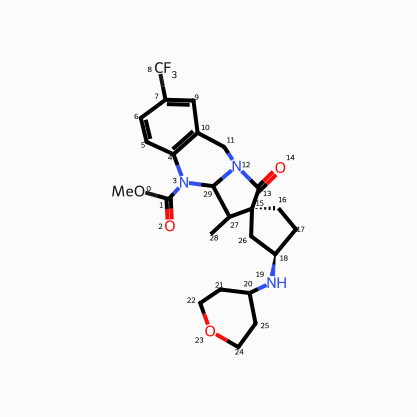 COC(=O)N1c2ccc(C(F)(F)F)cc2CN2C(=O)[C@]3(CC[C@@H](NC4CCOCC4)C3)C(C)C21